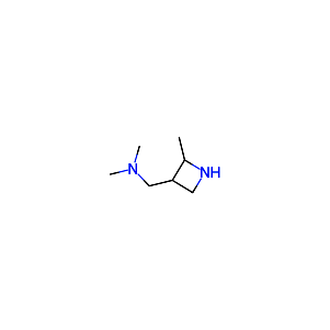 CC1NCC1CN(C)C